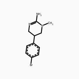 CN1CC(c2ccc(Br)cc2)CN=C1N